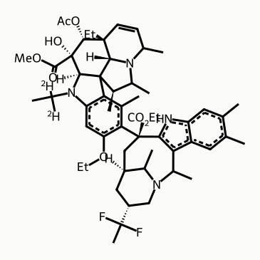 [2H]C([2H])(C)N1c2cc(OCC)c([C@@]3(C(=O)OCC)C[C@@H]4C[C@@H](C(C)(F)F)CN(C(C)c5c3[nH]c3cc(C)c(C)cc53)C4C)c(C)c2C23[C@H](C)C(C)N4C(C)C=C[C@](CC)([C@H]42)[C@@H](OC(C)=O)[C@](O)(C(=O)OC)[C@H]13